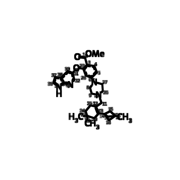 COC(=O)c1ccc(N2CCN(CC3=C(C45CC(C)(C4)C5)CC(C)(C)CC3)CC2)cc1Oc1cnc2[nH]ccc2c1